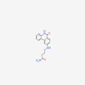 NC(=O)CCCNc1ccc2c(=O)[nH]c3ncccc3c2c1